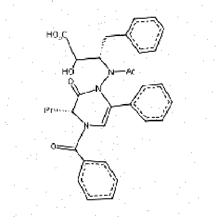 CC(=O)N([C@@H](Cc1ccccc1)C(O)C(=O)O)N1C(=O)[C@@H](C(C)C)N(C(=O)c2ccccc2)C=C1c1ccccc1